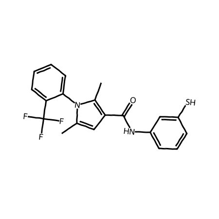 Cc1cc(C(=O)Nc2cccc(S)c2)c(C)n1-c1ccccc1C(F)(F)F